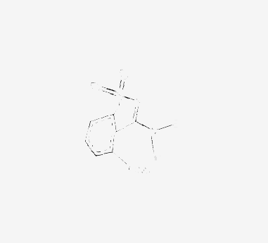 CCN(C1=NS(=O)(=O)c2cccc(OC)c21)C(C)C